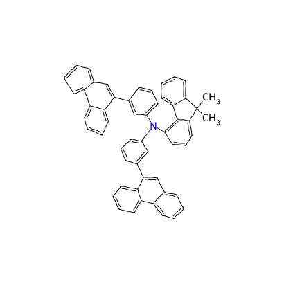 CC1(C)c2ccccc2-c2c(N(c3cccc(-c4cc5ccccc5c5ccccc45)c3)c3cccc(-c4cc5ccccc5c5ccccc45)c3)cccc21